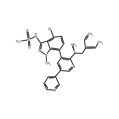 C=C/C(=C\C)C[C@H](N)c1ncc(-c2cccnc2)cc1-c1ccc(Cl)c2c(NS(C)(=O)=O)nn(C)c12